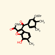 COC(=O)c1oc2c(O)c(C)ccc2c1C(=O)c1cc(C)c(C)c(OC)c1